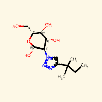 CCC(C)(C)c1cn([C@@H]2[C@@H](O)[C@@H](O)[C@@H](CO)O[C@H]2O)nn1